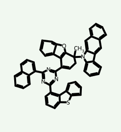 CC1(n2c3ccccc3c3cc4ccccc4cc32)CC=C(c2nc(-c3cccc4ccccc34)nc(-c3cccc4sc5ccccc5c34)n2)c2c1oc1ccccc21